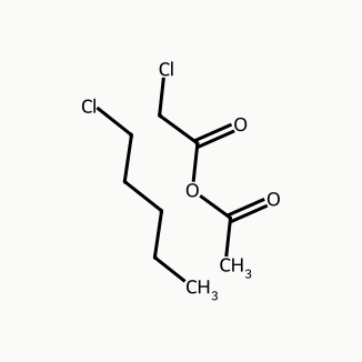 CC(=O)OC(=O)CCl.CCCCCCl